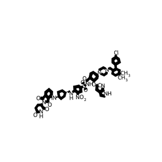 CC1(C)CCC(CN2CCN(c3ccc(C(=O)NS(=O)(=O)c4ccc(NC[C@H]5CC[C@H](Nc6cccc7c6C(=O)N(C6CCC(=O)NC6=O)C7=O)CC5)c([N+](=O)[O-])c4)c(Oc4cnc5[nH]ccc5c4)c3)CC2)=C(c2ccc(Cl)cc2)C1